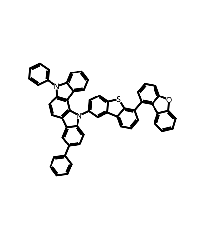 c1ccc(-c2ccc3c(c2)c2ccc4c(c5ccccc5n4-c4ccccc4)c2n3-c2ccc3sc4c(-c5cccc6oc7ccccc7c56)cccc4c3c2)cc1